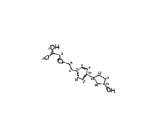 O=C(O)COCCc1ccc(C2CCC(O)C2)cc1